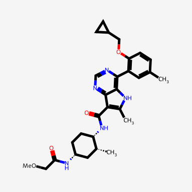 COCC(=O)N[C@@H]1CC[C@H](NC(=O)c2c(C)[nH]c3c(-c4cc(C)ccc4OCC4CC4)ncnc23)[C@H](C)C1